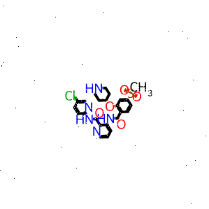 CS(=O)(=O)c1ccc(C(=O)Nc2cccnc2C(=O)Nc2ccc(Cl)cn2)c(OC2CCNCC2)c1